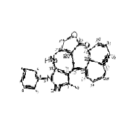 Cc1nn(-c2ccccc2)c2c1C(c1cccc3ccccc13)C1=C(COC1=O)N2